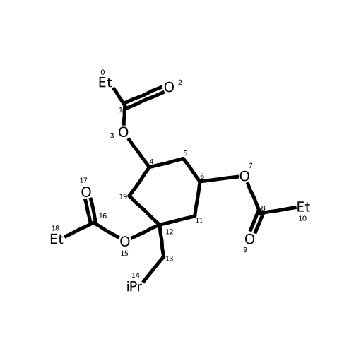 CCC(=O)OC1CC(OC(=O)CC)CC(CC(C)C)(OC(=O)CC)C1